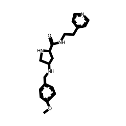 COc1ccc(CNC2CNC(C(=O)NCCc3ccncc3)C2)cc1